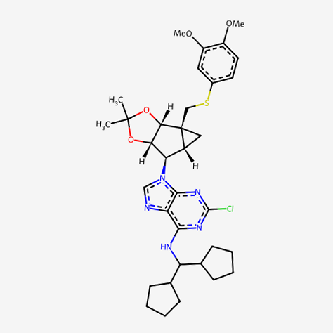 COc1ccc(SC[C@@]23C[C@@H]2[C@@H](n2cnc4c(NC(C5CCCC5)C5CCCC5)nc(Cl)nc42)[C@@H]2OC(C)(C)O[C@@H]23)cc1OC